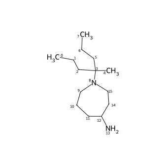 CCCC(C)(CCC)N1CCCC(N)CC1